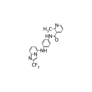 Cc1ncccc1C(=O)Nc1ccc(Nc2cccc3nc(C(F)(F)F)cn23)cc1